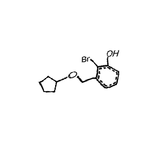 Oc1cccc(COC2CCCC2)c1Br